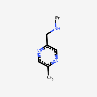 CC(C)NCc1cnc(C(F)(F)F)cn1